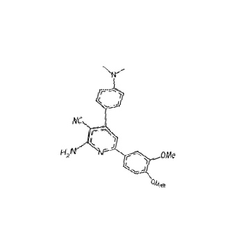 COc1ccc(-c2cc(-c3ccc(N(C)C)cc3)c(C#N)c(N)n2)cc1OC